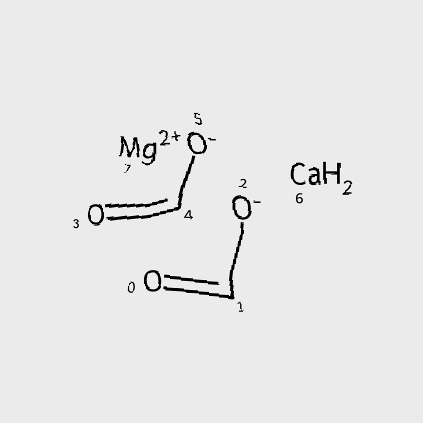 O=C[O-].O=C[O-].[CaH2].[Mg+2]